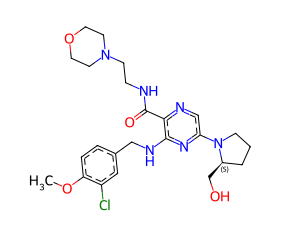 COc1ccc(CNc2nc(N3CCC[C@H]3CO)cnc2C(=O)NCCN2CCOCC2)cc1Cl